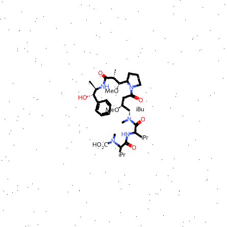 CC[C@H](C)[C@@H]([C@@H](CC(=O)N1CCCC1[C@H](OC)[C@@H](C)C(=O)N[C@H](C)[C@@H](O)c1ccccc1)OC)N(C)C(=O)C(NC(=O)C(C(C)C)N(C)C(=O)O)C(C)C